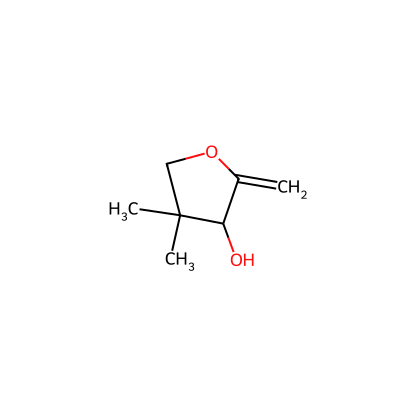 C=C1OCC(C)(C)C1O